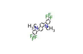 Cn1c2ccc(C(F)(F)F)cc2c2ccc3c(ccc4c5cc(C(F)(F)F)ccc5n(C)c43)c21